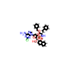 Nc1nc(Cl)nc2c1ncn2[C@H]1CC(OP(=O)(N[C@@H](CCc2ccccc2)C(=O)OCc2ccccc2)Oc2cccc3ccccc23)[C@@H](CO)O1